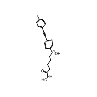 Cc1ccc(C#Cc2ccc([C@H](O)CCCCC(=O)NO)cc2)cc1